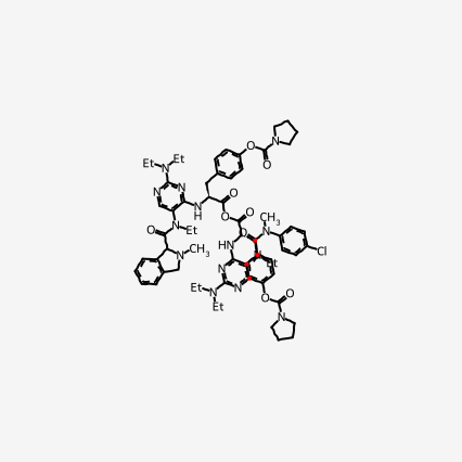 CCN(CC)c1ncc(N(CC)C(=O)C2c3ccccc3CN2C)c(N[C@@H](Cc2ccc(OC(=O)N3CCCC3)cc2)C(=O)OC(=O)[C@H](Cc2ccc(OC(=O)N3CCCC3)cc2)Nc2nc(N(CC)CC)ncc2N(CC)C(=O)N(C)c2ccc(Cl)cc2)n1